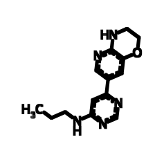 CCCNc1cc(-c2cnc3c(c2)OCCN3)ncn1